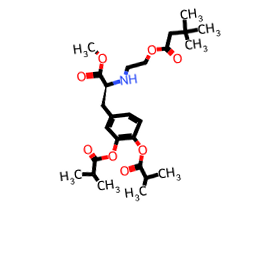 COC(=O)[C@H](Cc1ccc(OC(=O)C(C)C)c(OC(=O)C(C)C)c1)NCCOC(=O)CC(C)(C)C